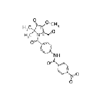 CO[C@@H]1C(=O)C(C)(C)N(C(=O)c2ccc(NC(=O)c3ccc([N+](=O)[O-])cc3)cc2)[C@@H]1C=O